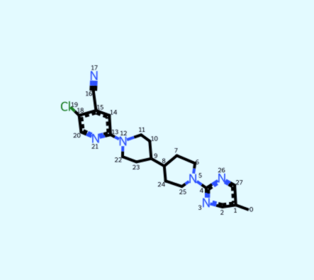 Cc1cnc(N2CCC(C3CCN(c4cc(C#N)c(Cl)cn4)CC3)CC2)nc1